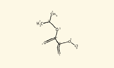 CC(C)OC(=O)C(=O)OCl